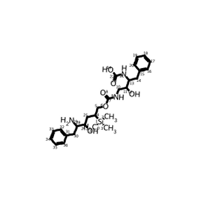 C[Si](C)(C)C(COC(=O)NCC(O)C(Cc1ccccc1)NC(=O)O)CC(O)C(N)Cc1ccccc1